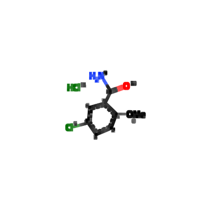 COc1ccc(Cl)cc1C(N)=O.Cl